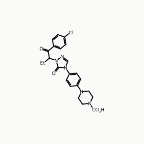 CCC(C(=O)c1ccc(Cl)cc1)n1ncn(-c2ccc(N3CCN(C(=O)O)CC3)cc2)c1=O